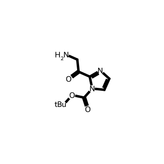 CC(C)(C)OC(=O)n1ccnc1C(=O)CN